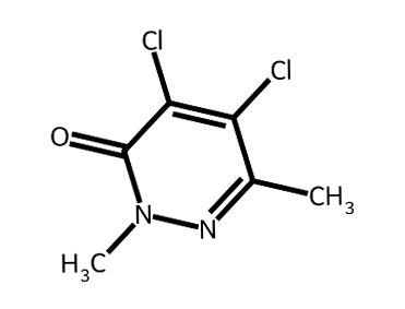 Cc1nn(C)c(=O)c(Cl)c1Cl